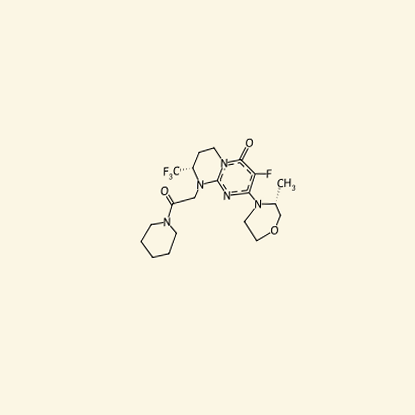 C[C@@H]1COCCN1c1nc2n(c(=O)c1F)CC[C@@H](C(F)(F)F)N2CC(=O)N1CCCCC1